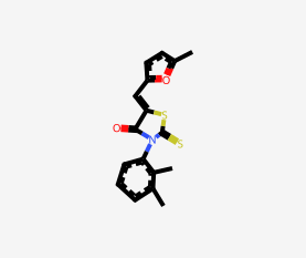 Cc1ccc(C=C2SC(=S)N(c3cccc(C)c3C)C2=O)o1